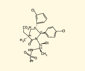 CC[C@@H]([C@@H](C)NS(=O)(=O)C(C)C)N1C(=O)[C@@](C)(CC(=O)O)C[C@H](c2cccc(Cl)c2)[C@H]1c1ccc(Cl)cc1